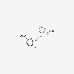 Cc1ccc(C=O)cc1OCCP(=O)(OC(C)(C)C)OC(C)(C)C